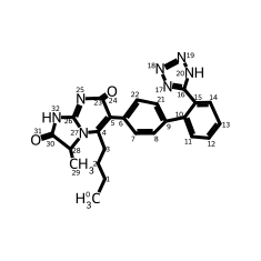 CCCCc1c(-c2ccc(-c3ccccc3-c3nnn[nH]3)cc2)c(=O)nc2n1C(C)C(=O)N2